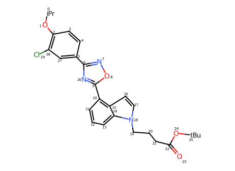 CC(C)Oc1ccc(-c2noc(-c3cccc4c3ccn4CCCC(=O)OC(C)(C)C)n2)cc1Cl